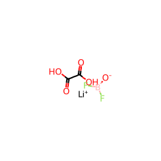 O=C(O)C(=O)O.[Li+].[O-]B(F)F